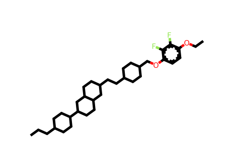 CCCC1CCC(C2CCC3CC(CCC4CCC(COc5ccc(OCC)c(F)c5F)CC4)CCC3C2)CC1